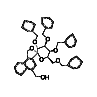 OCc1cc2c(c3ccccc13)CO[C@]21O[C@H](COCc2ccccc2)[C@H](OCc2ccccc2)[C@H](OCc2ccccc2)[C@H]1OCc1ccccc1